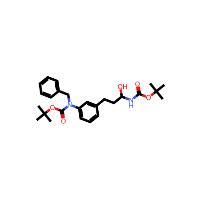 CC(C)(C)OC(=O)NC(O)CCc1cccc(N(Cc2ccccc2)C(=O)OC(C)(C)C)c1